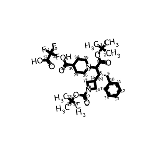 CC(C)(C)OC(=O)C([C@H](Cc1ccccc1)C1CN(C(=O)OC(C)(C)C)C1)N1CCC(C(=O)O)CC1.O=C(O)C(F)(F)F